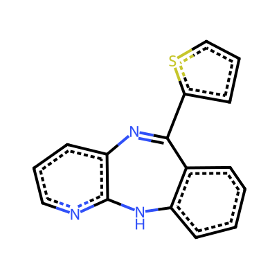 c1csc(C2=Nc3cccnc3Nc3ccccc32)c1